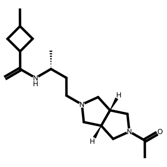 C=C(N[C@H](C)CCN1C[C@@H]2CN(C(C)=O)C[C@@H]2C1)C1CC(C)C1